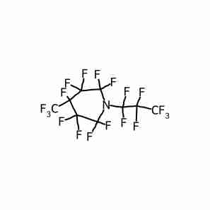 FC(F)(F)C(F)(F)C(F)(F)N1C(F)(F)C(F)(F)C(F)(C(F)(F)F)C(F)(F)C1(F)F